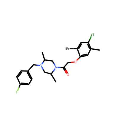 Cc1cc(OCC(=O)N2CC(C)N(Cc3ccc(F)cc3)CC2C)c(C(C)C)cc1Cl